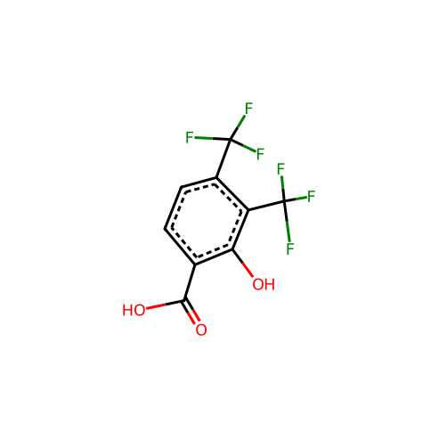 O=C(O)c1ccc(C(F)(F)F)c(C(F)(F)F)c1O